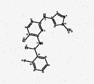 CCC(Nc1nc(Nc2cnn(C)c2)ncc1Cl)c1ccccc1F